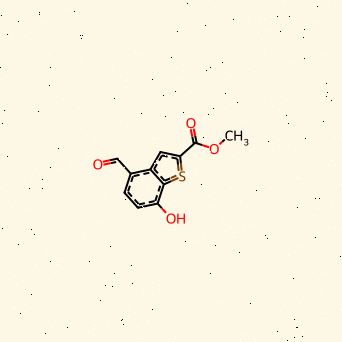 COC(=O)c1cc2c(C=O)ccc(O)c2s1